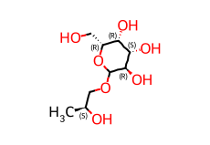 C[C@H](O)COC1O[C@H](CO)[C@H](O)[C@H](O)[C@H]1O